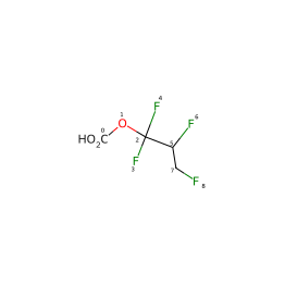 O=C(O)OC(F)(F)C(F)CF